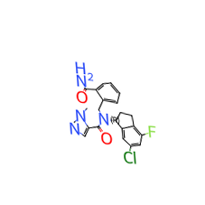 Cn1cncc1C(=O)N(Cc1ccccc1C(N)=O)[C@@H]1CCc2c(F)cc(Cl)cc21